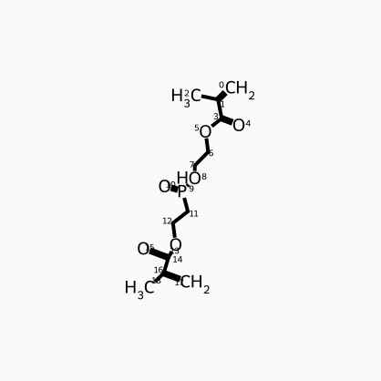 C=C(C)C(=O)OCCO[PH](=O)CCOC(=O)C(=C)C